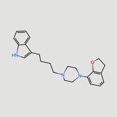 c1cc2c(c(N3CCN(CCCCc4c[nH]c5ccccc45)CC3)c1)OCC2